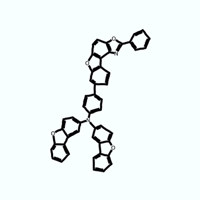 c1ccc(-c2nc3c(ccc4oc5cc(-c6ccc(N(c7ccc8oc9ccccc9c8c7)c7ccc8oc9ccccc9c8c7)cc6)ccc5c43)o2)cc1